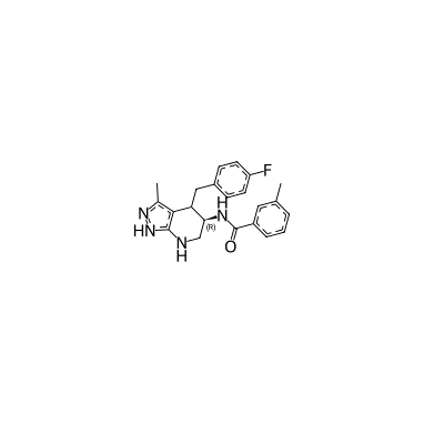 Cc1cccc(C(=O)N[C@H]2CNc3[nH]nc(C)c3C2Cc2ccc(F)cc2)c1